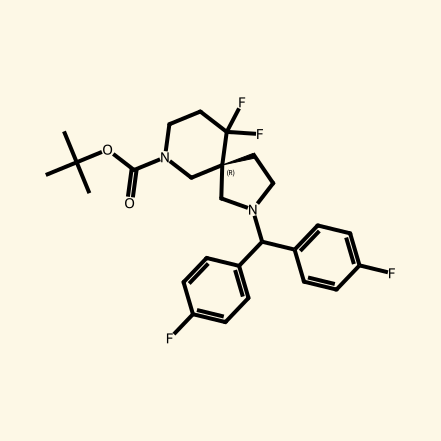 CC(C)(C)OC(=O)N1CCC(F)(F)[C@@]2(CCN(C(c3ccc(F)cc3)c3ccc(F)cc3)C2)C1